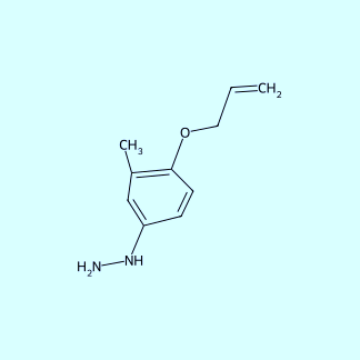 C=CCOc1ccc(NN)cc1C